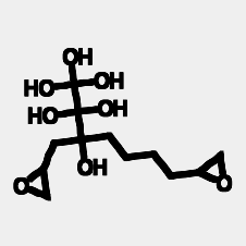 OC(O)(O)C(O)(O)C(O)(CCCCC1CO1)CC1CO1